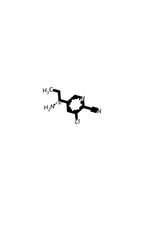 CC[C@@H](N)c1cnc(C#N)c(Cl)c1